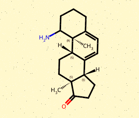 C[C@]12CC[C@H]3C(=CC=C4CCCC(N)[C@@]43C)[C@@H]1CCC2=O